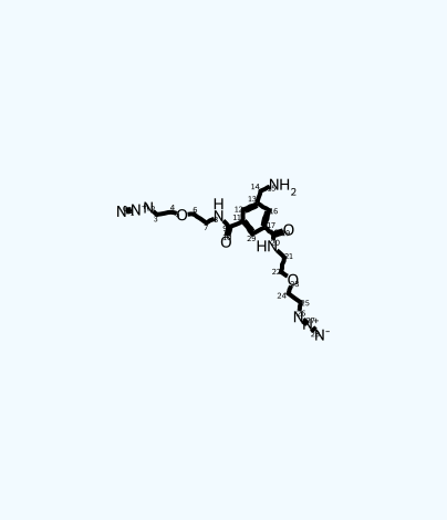 [N-]=[N+]=NCCOCCNC(=O)c1cc(CN)cc(C(=O)NCCOCCN=[N+]=[N-])c1